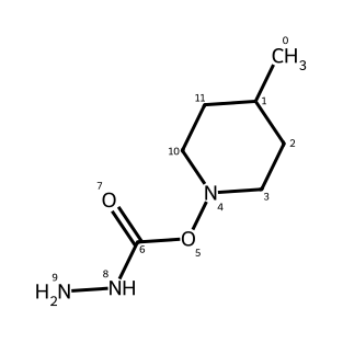 CC1CCN(OC(=O)NN)CC1